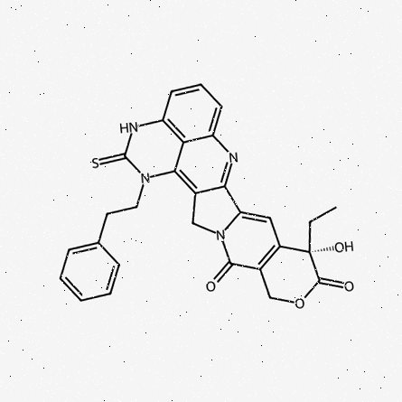 CC[C@@]1(O)C(=O)OCc2c1cc1n(c2=O)Cc2c-1nc1cccc3c1c2N(CCc1ccccc1)C(=S)N3